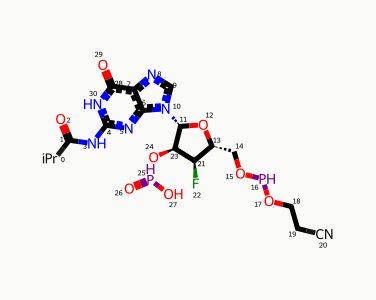 CC(C)C(=O)Nc1nc2c(ncn2[C@@H]2O[C@H](COPOCCC#N)[C@@H](F)[C@H]2O[PH](=O)O)c(=O)[nH]1